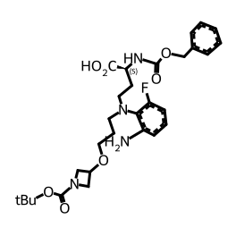 CC(C)(C)OC(=O)N1CC(OCCCN(CC[C@H](NC(=O)OCc2ccccc2)C(=O)O)c2c(N)cccc2F)C1